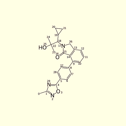 Cc1noc(-c2ccc(-c3cccc4c3C(=O)N(C(C3CC3)C(C)(C)O)C4)cc2)n1